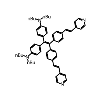 CCCCN(CCCC)c1ccc(C(=C(c2ccc(/C=C/c3ccncc3)cc2)c2ccc(/C=C/c3ccncc3)cc2)c2ccc(N(CCCC)CCCC)cc2)cc1